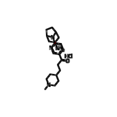 CN1CCC(CCC(=O)c2ccc(N3C4CCC3CC(N)C4)nc2)CC1.Cl